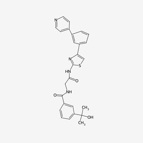 CC(C)(O)c1cccc(C(=O)NCC(=O)Nc2nc(-c3cccc(-c4ccncc4)c3)cs2)c1